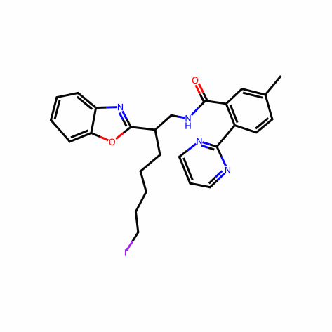 Cc1ccc(-c2ncccn2)c(C(=O)NCC(CCCCCI)c2nc3ccccc3o2)c1